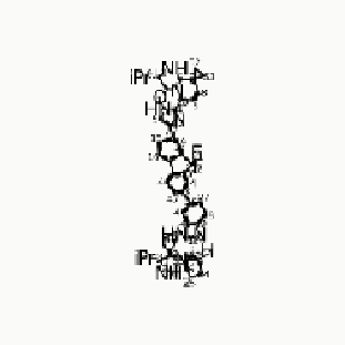 CC(C)[C@H](N)C(=O)N1CC2(C#C[C@H]1c1nc(-c3ccc4c(c3)C(F)(F)c3cc(-c5ccc6nc([C@@H]7[C@H]8CC[C@H](C8)N7C(=O)[C@@H](N)C(C)C)[nH]c6c5)ccc3-4)c[nH]1)CC2